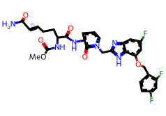 COC(=O)NC(CC/C=C/C(N)=O)C(=O)Nc1cccn(Cc2nc3cc(F)cc(OCc4ccc(F)cc4F)c3[nH]2)c1=O